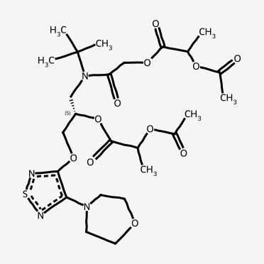 CC(=O)OC(C)C(=O)OCC(=O)N(C[C@@H](COc1nsnc1N1CCOCC1)OC(=O)C(C)OC(C)=O)C(C)(C)C